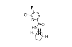 O=C(N[C@@H]1C[C@H]2CC[C@@H]1N2)c1ccc(F)c(Cl)n1